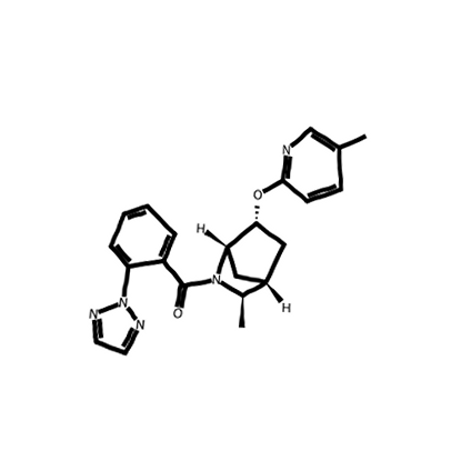 Cc1ccc(O[C@@H]2C[C@H]3C[C@@H]2N(C(=O)c2ccccc2-n2nccn2)[C@@H]3C)nc1